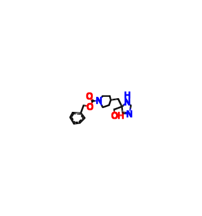 O=C(OCc1ccccc1)N1CCC(CC2(CO)C=NCN2)CC1